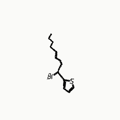 CCCCCCCC(Br)c1cccs1